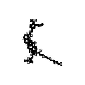 C#CCCc1cc(COC(=O)[C@@]2(C)CC[C@]3(C)CC[C@]4(C)C(=CC(=O)[C@@H]5[C@@]6(C)CC[C@H](OC(=O)CCOCCOCCOCCOC)[C@@](C)(C(=O)OCc7oc(=O)oc7C)[C@@H]6CC[C@]54C)[C@@H]3C2)ccc1[N+](=O)[O-]